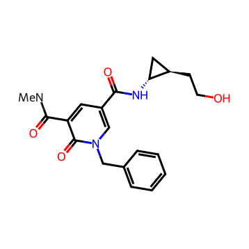 CNC(=O)c1cc(C(=O)N[C@@H]2C[C@H]2CCO)cn(Cc2ccccc2)c1=O